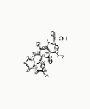 CCC1OC(C(=O)O)CC2=C1C(=O)c1c(cc3ccccc3c1OC(C)=O)C2=O